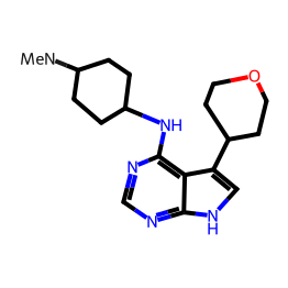 CNC1CCC(Nc2ncnc3[nH]cc(C4CCOCC4)c23)CC1